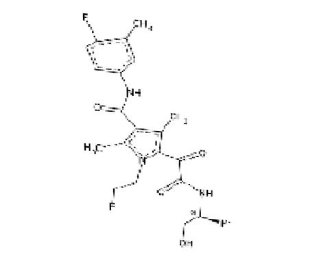 Cc1cc(NC(=O)c2c(C)c(C(=O)C(=O)N[C@H](CO)C(C)C)n(CCF)c2C)ccc1F